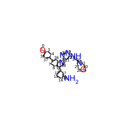 COc1ccc(-c2ccc3c(-c4cccc(N)c4)cn(-c4cc(NCCN5CCOCC5)ncn4)c3c2)cc1